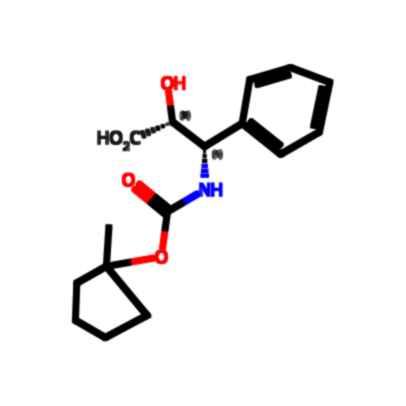 CC1(OC(=O)N[C@@H](c2ccccc2)[C@@H](O)C(=O)O)CCCC1